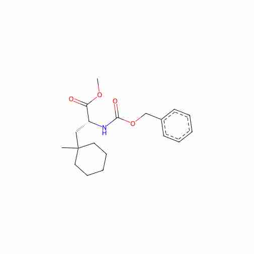 COC(=O)[C@@H](CC1(C)CCCCC1)NC(=O)OCc1ccccc1